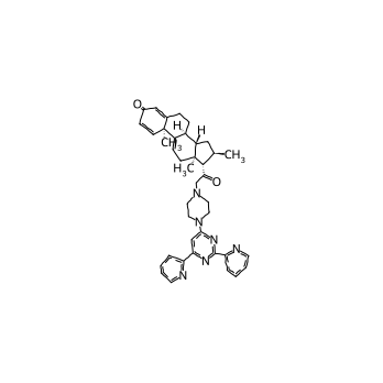 C[C@@H]1C[C@H]2[C@@H]3CCC4=CC(=O)C=C[C@]4(C)C3=CC[C@]2(C)[C@H]1C(=O)CN1CCN(c2cc(-c3ccccn3)nc(-c3ccccn3)n2)CC1